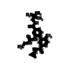 CCNC(=O)Nc1cc(C(=O)NCC(C)(C)C)ccc1-c1cc(C(=O)NC2CC2)ccc1C